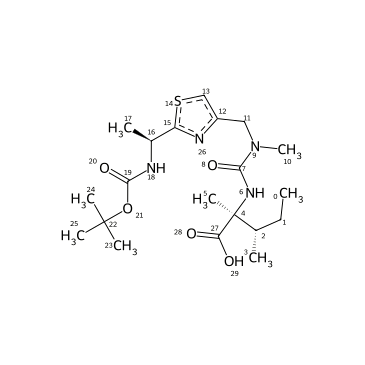 CC[C@H](C)[C@](C)(NC(=O)N(C)Cc1csc([C@H](C)NC(=O)OC(C)(C)C)n1)C(=O)O